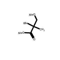 COCC(C)(C(=O)OC)C(C)(C)C